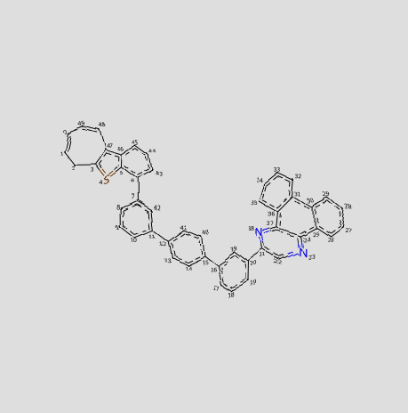 C1=CCc2sc3c(-c4cccc(-c5ccc(-c6cccc(-c7cnc8c9ccccc9c9ccccc9c8n7)c6)cc5)c4)cccc3c2C=C1